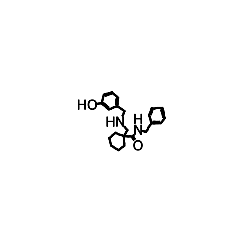 O=C(NCc1ccccc1)C1(CNCc2cccc(O)c2)CCCCC1